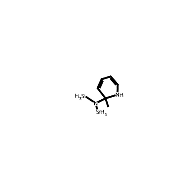 CC1(N([SiH3])[SiH3])C=CC=CN1